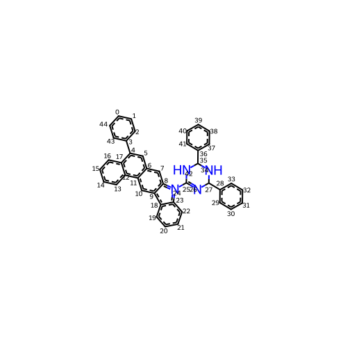 c1ccc(-c2cc3cc4c(cc3c3ccccc23)c2ccccc2n4C2=NC(c3ccccc3)NC(c3ccccc3)N2)cc1